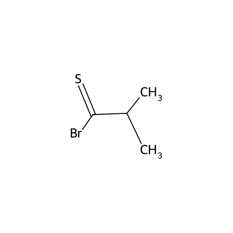 CC(C)C(=S)Br